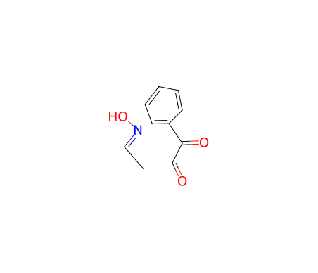 C/C=N/O.O=CC(=O)c1ccccc1